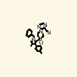 Cc1ccc(-c2c(C)cn(Cc3ccccc3)c2C(=O)N2CCN(c3nccnc3C#N)CC2)cc1